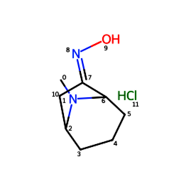 CN1C2CCCC1C(=NO)C2.Cl